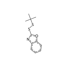 CC(C)(C)SSc1nc2ccccc2o1